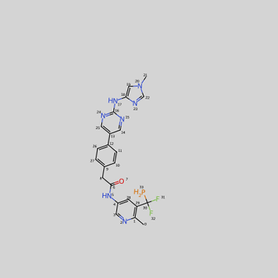 Cc1ncc(NC(=O)Cc2ccc(-c3cnc(Nc4cn(C)cn4)nc3)cc2)cc1C(F)(F)P